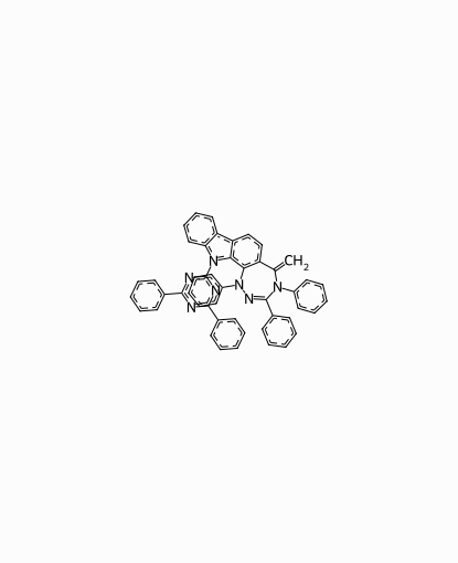 C=C1c2ccc3c4ccccc4n(-c4nc(-c5ccccc5)nc(-c5ccccc5)n4)c3c2N(c2ccccc2)N=C(c2ccccc2)N1c1ccccc1